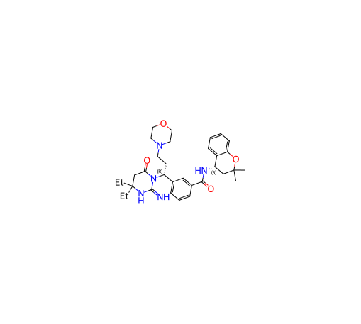 CCC1(CC)CC(=O)N([C@H](CCN2CCOCC2)c2cccc(C(=O)N[C@H]3CC(C)(C)Oc4ccccc43)c2)C(=N)N1